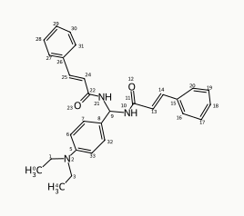 CCN(CC)c1ccc(C(NC(=O)C=Cc2ccccc2)NC(=O)C=Cc2ccccc2)cc1